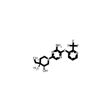 CC[C@]1(C)CCN(c2cnc(Sc3cccnc3C(F)(F)F)c(N)n2)C[C@H]1O